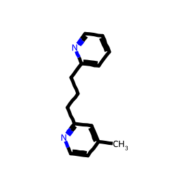 Cc1ccnc(CCCc2ccccn2)c1